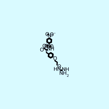 N=C(N)NOCCCOc1ccc(C[C@H](NS(=O)(=O)c2ccc([N+](=O)[O-])cc2)C(=O)O)cc1